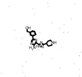 Nc1ncc(-c2cccc(CO)c2)nc1-c1nc(C2CCNCC2)n[nH]1